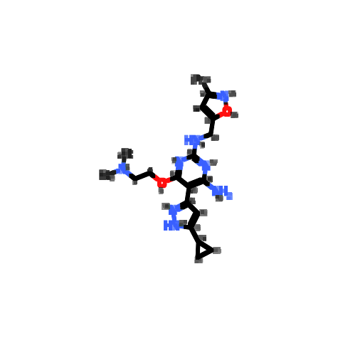 CCN(CC)CCOc1nc(NCc2cc(C(C)C)no2)nc(N)c1-c1cc(C2CC2)[nH]n1